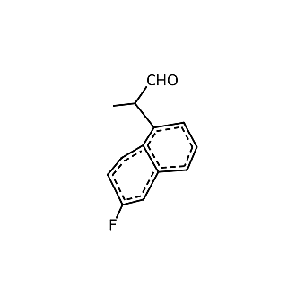 CC(C=O)c1cccc2cc(F)ccc12